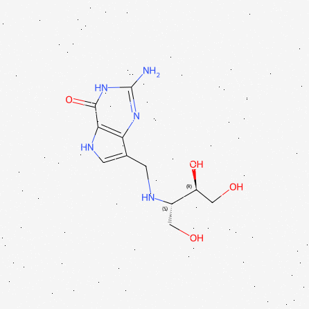 Nc1nc2c(CN[C@@H](CO)[C@@H](O)CO)c[nH]c2c(=O)[nH]1